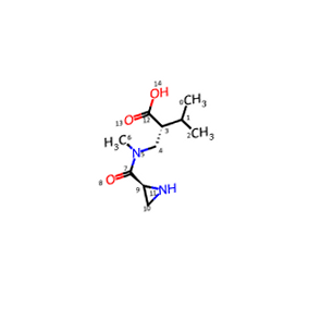 CC(C)[C@H](CN(C)C(=O)[C@@H]1CN1)C(=O)O